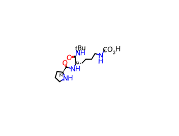 CC(C)(C)NC(=O)[C@H](CCCCNC(=O)O)NC(=O)[C@@H]1CCCN1